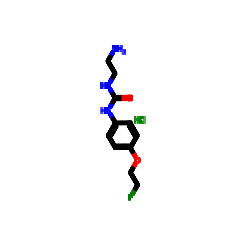 Cl.NCCNC(=O)Nc1ccc(OCCF)cc1